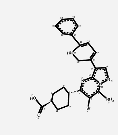 Nc1c(Br)c([C@H]2CC[C@H](C(=O)O)CC2)nc2c(C3=CC=C(c4ccccc4)NC3)cnn12